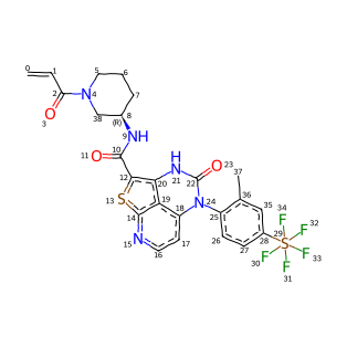 C=CC(=O)N1CCC[C@@H](NC(=O)c2sc3nccc4c3c2NC(=O)N4c2ccc(S(F)(F)(F)(F)F)cc2C)C1